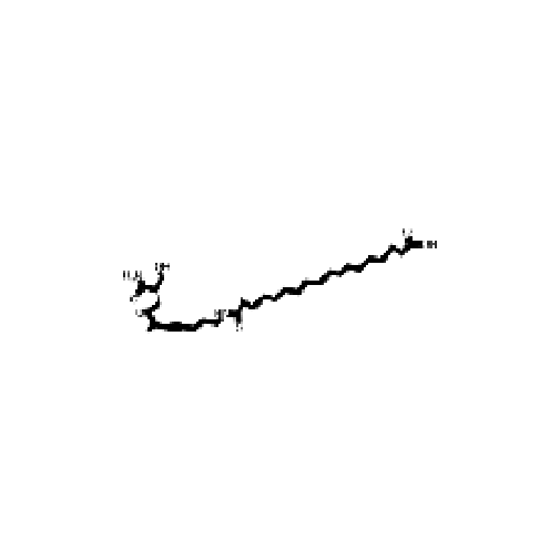 CC(C#CCCCNC(=O)CCCCCCCCCCCCCCCCC(=O)O)C(=O)C[C@@H](CO)C(N)=O